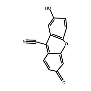 N#Cc1c2ccc(=O)cc-2oc2ccc(O)cc12